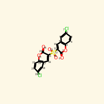 O=c1oc2ccc(Cl)cc2cc1S(=O)(=O)c1cc2cc(Cl)ccc2oc1=O